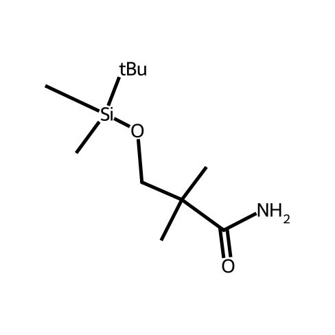 CC(C)(CO[Si](C)(C)C(C)(C)C)C(N)=O